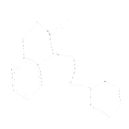 O=C1CCc2ccccc2N1CCN1CCOCC1